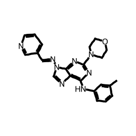 Cc1cccc(Nc2nc(N3CCOCC3)nc3c2ncn3N=Cc2cccnc2)c1